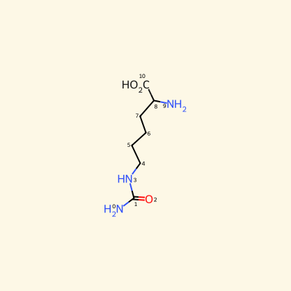 NC(=O)NCCCCC(N)C(=O)O